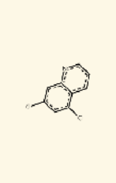 Clc1cc(Cl)c2cc[c]nc2c1